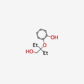 CCC(CC)(CO)Oc1ccccc1O